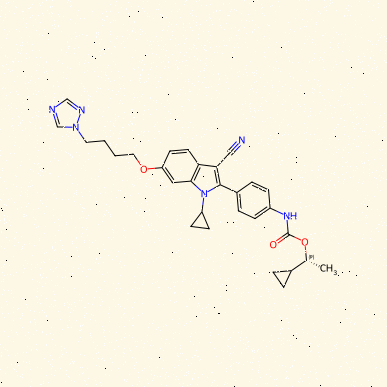 C[C@@H](OC(=O)Nc1ccc(-c2c(C#N)c3ccc(OCCCCn4cncn4)cc3n2C2CC2)cc1)C1CC1